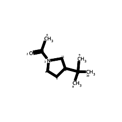 CC(=O)N1CCC(C(C)(C)C)C1